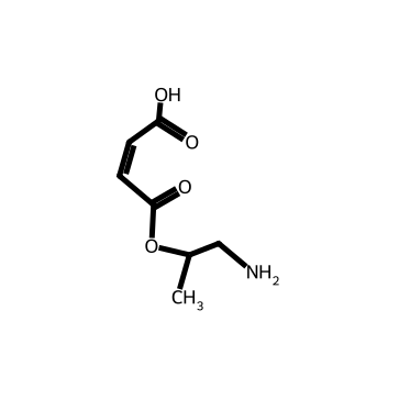 CC(CN)OC(=O)/C=C\C(=O)O